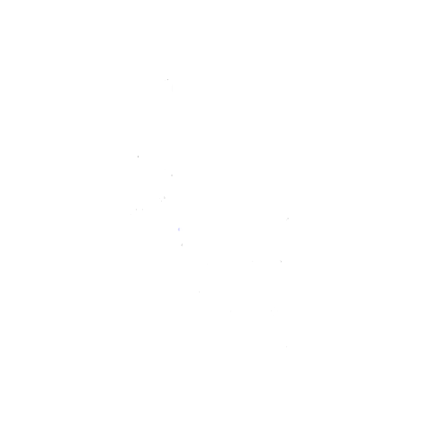 COc1ccc(/C=C/C(=O)c2ccc(Cl)cc2)cc1OC